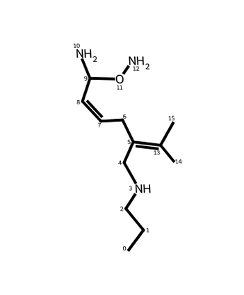 CCCNCC(C/C=C\C(N)ON)=C(C)C